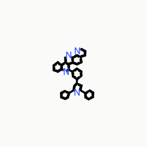 c1ccc(-c2cc(-c3cccc(-c4nc5ccccc5c5cnc6c(ccc7cccnc76)c45)c3)cc(-c3ccccc3)n2)cc1